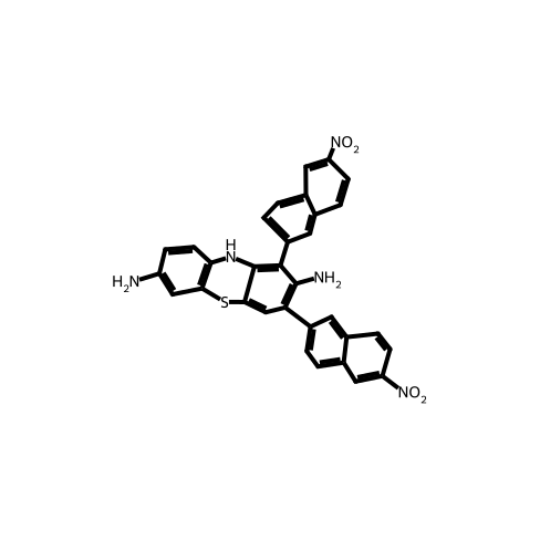 Nc1ccc2c(c1)Sc1cc(-c3ccc4cc([N+](=O)[O-])ccc4c3)c(N)c(-c3ccc4cc([N+](=O)[O-])ccc4c3)c1N2